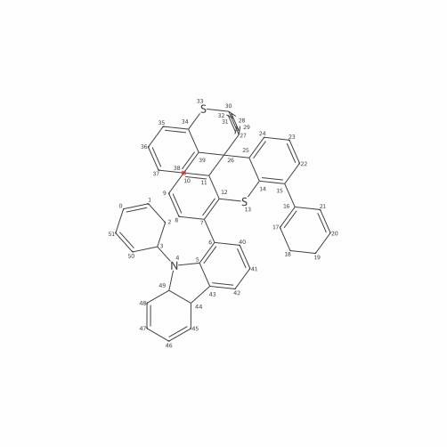 C1=CCC(N2c3c(-c4cccc5c4Sc4c(C6=CCCC=C6)cccc4C54c5ccccc5Sc5ccccc54)cccc3C3C=CC=CC32)C=C1